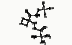 CC(C)(C)C(=O)ONC1(C(=O)NCC(F)(F)F)CCC1